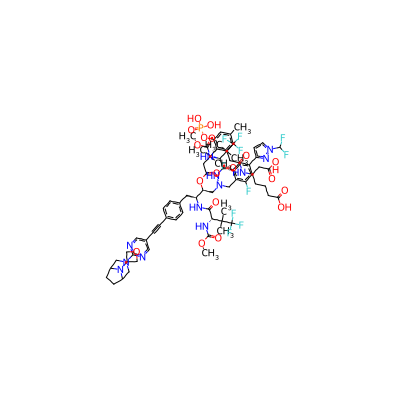 COC(=O)N[C@H](C(=O)N[C@@H](Cc1ccc(C#Cc2cnc(N3CC4CCC(C3)N4C3COC3)nc2)cc1)[C@H](CN(Cc1c(F)cc(-c2ccn(C(F)F)n2)cc1F)NC(=O)[C@@H](NC(=O)OC)C(C)(C)C(F)(F)F)OC(=O)CC(C)(C)c1c(CC(=O)NC(CCCC(=O)O)CC(=O)O)cc(C)cc1OP(=O)(O)O)C(C)(C)C(F)(F)F